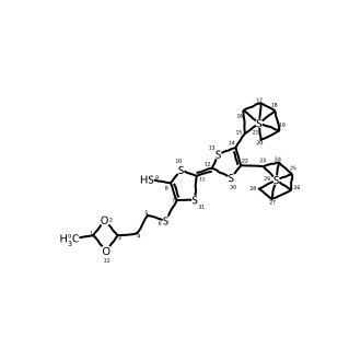 CC1OC(CCSC2=C(S)SC(=C3SC(C4C5C6C7C8CS84756)=C(C4C5C6C7C8CS84756)S3)S2)O1